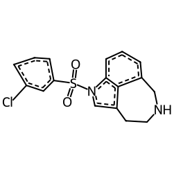 O=S(=O)(c1cccc(Cl)c1)n1cc2c3c(cccc31)CNCC2